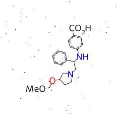 COCOC1CCN(CC(Nc2ccc(C(=O)O)cc2)c2ccccc2)C1